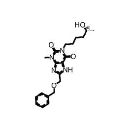 C[C@@H](O)CCCCn1c(=O)c2[nH]c(COCc3ccccc3)nc2n(C)c1=O